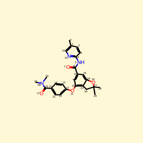 Cc1ccc(NC(=O)c2cc(Oc3ccc(C(=O)N(C)C)cc3)c3c(c2)OC(C)(C)C3)nc1